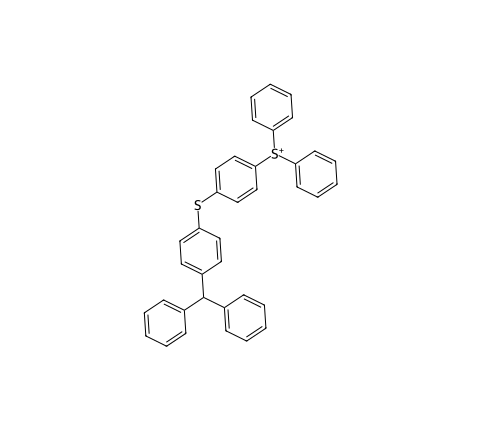 c1ccc(C(c2ccccc2)c2ccc(Sc3ccc([S+](c4ccccc4)c4ccccc4)cc3)cc2)cc1